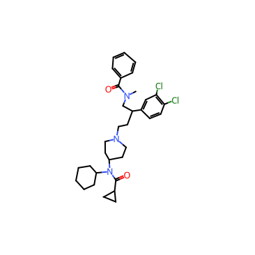 CN(CC(CCN1CCC(N(C(=O)C2CC2)C2CCCCC2)CC1)c1ccc(Cl)c(Cl)c1)C(=O)c1ccccc1